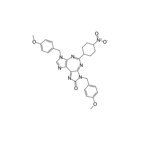 COc1ccc(Cn2c3nc(C4CCC([N+](=O)[O-])CC4)nc4c(ncn4Cc4ccc(OC)cc4)c-3nc2=O)cc1